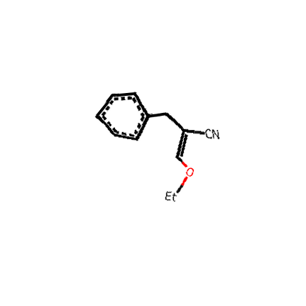 CCOC=C(C#N)Cc1ccccc1